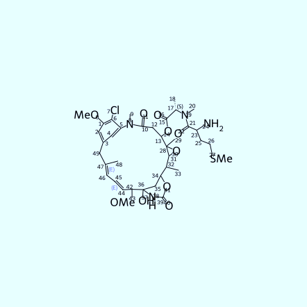 COc1cc2cc(c1Cl)N(C)C(=O)CC(OC(=O)[C@H](C)N(C)C(=O)C(N)CCSC)C1(C)OC1C(C)C1CC(O)(NC(=O)O1)C(OC)/C=C/C=C(\C)C2